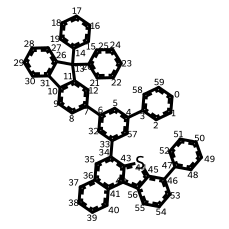 c1ccc(-c2cc(-c3ccc4c(c3)C(c3ccccc3)(c3ccccc3)c3ccccc3-4)cc(-c3cc4ccccc4c4c3sc3c(-c5ccccc5)cccc34)c2)cc1